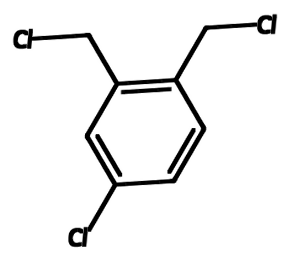 ClCc1ccc(Cl)cc1CCl